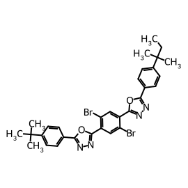 CCC(C)(C)c1ccc(-c2nnc(-c3cc(Br)c(-c4nnc(-c5ccc(C(C)(C)C)cc5)o4)cc3Br)o2)cc1